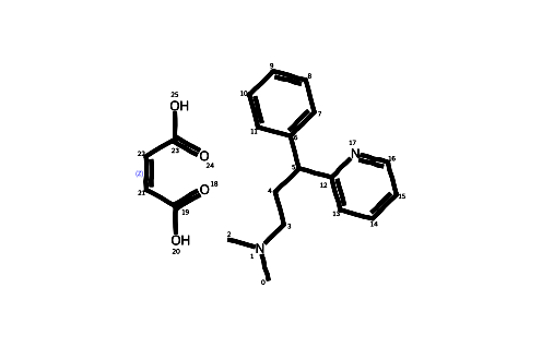 CN(C)CCC(c1ccccc1)c1ccccn1.O=C(O)/C=C\C(=O)O